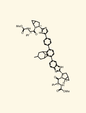 COC(=O)N[C@H](C(=O)N1C2CC2C[C@H]1c1ncc(-c2ccc(-c3ccc(-c4ccc5nc([C@H]6CC7C[C@@H]7N6C(=O)[C@@H](NC(=O)OC)C(C)C)[nH]c5c4)c4c3C3CC(C)CC4N3)cc2)[nH]1)C(C)C